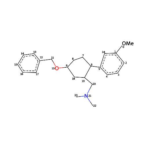 COc1cccc(C2CCC(OCc3ccccc3)CC2CN(C)C)c1